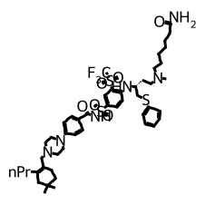 CCCC1=C(CN2CCN(c3ccc(C(=O)NS(=O)(=O)c4ccc(N[C@H](CCN(C)CCCCCCC(N)=O)CSc5ccccc5)c(S(=O)(=O)C(F)(F)F)c4)cc3)CC2)CCC(C)(C)C1